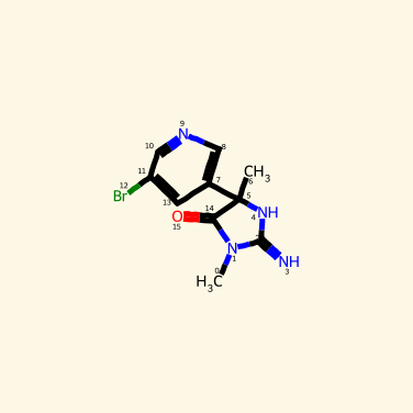 CN1C(=N)NC(C)(c2cncc(Br)c2)C1=O